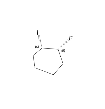 F[C@@H]1CCCC[C@@H]1I